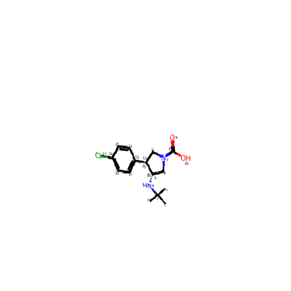 CC(C)(C)N[C@H]1CN(C(=O)O)C[C@@H]1c1ccc(Cl)cc1